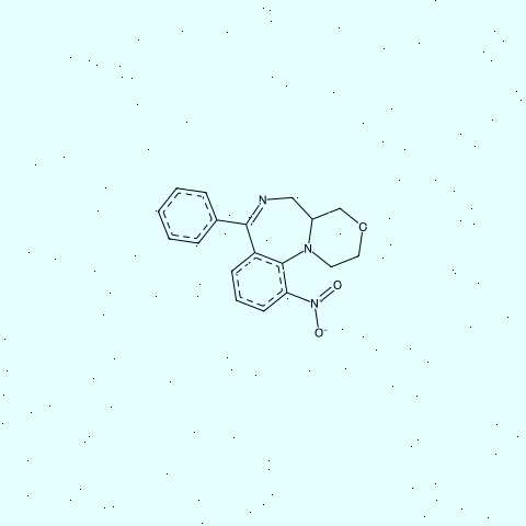 O=[N+]([O-])c1cccc2c1N1CCOCC1CN=C2c1ccccc1